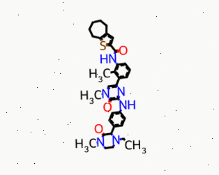 CCN1CCN(C)C(=O)C1c1ccc(Nc2nc(-c3cccc(NC(=O)c4cc5c(s4)CCCCC5)c3C)cn(C)c2=O)cc1